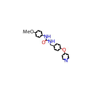 COc1ccc(NC(=O)NCc2ccc(Oc3ccncc3)cc2)cc1